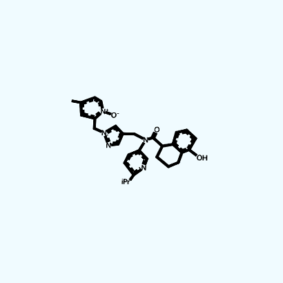 Cc1cc[n+]([O-])c(Cn2cc(CN(C(=O)C3CCCc4c(O)cccc43)c3ccc(C(C)C)nc3)cn2)c1